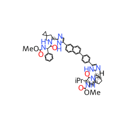 COC(=O)NC(C(=O)N1CC2(CC2)C[C@H]1c1ncc(-c2ccc3cc(-c4ccc(-c5cnc([C@@H]6[C@H]7CC[C@H](C7)N6C(=O)[C@@H](NC(=O)OC)C(C)C)[nH]5)cc4)ccc3c2)[nH]1)c1ccccc1